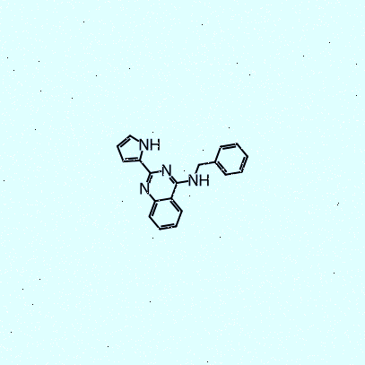 c1ccc(CNc2nc(-c3ccc[nH]3)nc3ccccc23)cc1